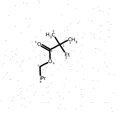 [CH2]CC(C)(C)C(=O)OCC(C)C